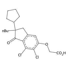 CCCCC1(C2CCCC2)Cc2cc(OCC(=O)O)c(Cl)c(Cl)c2C1=O